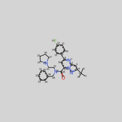 CC(C)(C)c1cc2nc(-c3ccc(F)cc3)cc(C(=O)N(CCN3CCCC3)Cc3ccccc3)n2n1